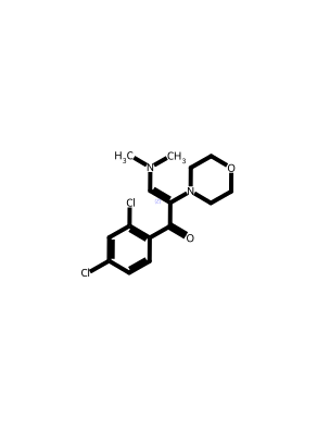 CN(C)/C=C(/C(=O)c1ccc(Cl)cc1Cl)N1CCOCC1